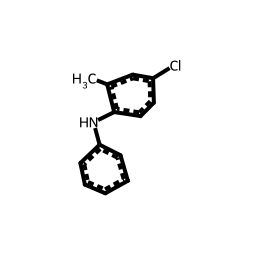 Cc1cc(Cl)ccc1Nc1ccccc1